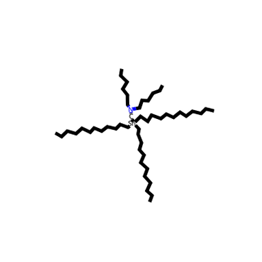 CCCCCCCCCCC[CH2][Sn]([CH2]CCCCCCCCCCC)([CH2]CCCCCCCCCCC)[CH2]N(CCCCCC)CCCCCC